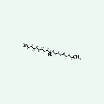 CCCCCCCCCCCCCCCCCCBr.[Na]